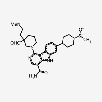 CNCCC1(C=O)CCCN(c2ncc(C(N)=O)c3[nH]c4cc(C5CCN([S+](C)[O-])CC5)ccc4c23)C1